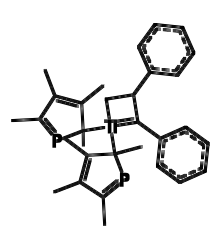 CC1=P[C](C)([Ti]2([C]3(C)P=C(C)C(C)=C3C)=[C](c3ccccc3)C(c3ccccc3)[CH2]2)C(C)=C1C